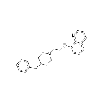 c1ccc(CC2CCN(CCOc3cccc4cccnc34)CC2)cc1